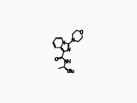 C[C@@H](NC(=O)c1nc(N2CCOCC2)n2ccccc12)C(C)(C)C